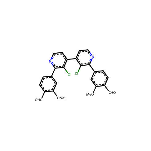 COc1cc(-c2nccc(-c3ccnc(-c4ccc(C=O)c(OC)c4)c3Cl)c2Cl)ccc1C=O